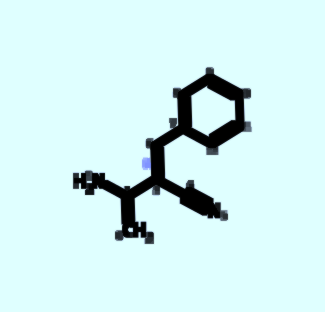 C=C(N)/C(C#N)=C/c1ccccc1